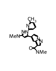 CNC(=O)c1cnn2ccc(-c3cc(NC)nn3-c3cccc(C)n3)cc12